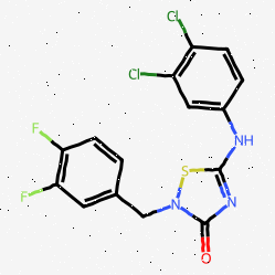 O=c1nc(Nc2ccc(Cl)c(Cl)c2)sn1Cc1ccc(F)c(F)c1